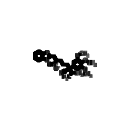 COc1cc(C(C#N)(CCCC(CC2Oc3ccccc3O2)[N+](=O)[O-])C(C)C)cc(OC)c1OC